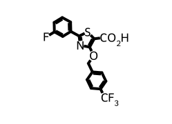 O=C(O)c1sc(-c2cccc(F)c2)nc1OCc1ccc(C(F)(F)F)cc1